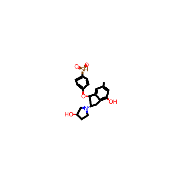 Cc1cc(O)c2c(c1)[C@H](Oc1ccc([SH](=O)=O)cc1)[C@@H](N1CC[C@@H](O)C1)C2